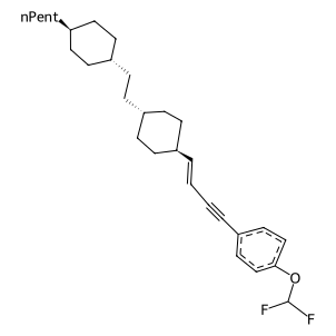 CCCCC[C@H]1CC[C@H](CC[C@H]2CC[C@H](C=CC#Cc3ccc(OC(F)F)cc3)CC2)CC1